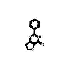 O=c1[nH]c(-c2ccccc2)nc2c1SCC2